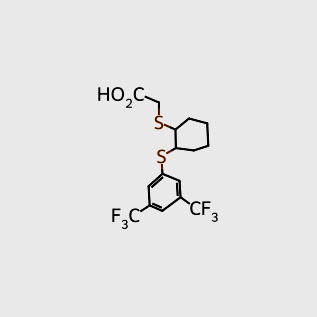 O=C(O)CSC1CCCCC1Sc1cc(C(F)(F)F)cc(C(F)(F)F)c1